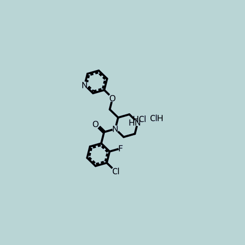 Cl.Cl.O=C(c1cccc(Cl)c1F)N1CCNCC1COc1cccnc1